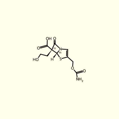 NC(=O)OCC1=CN2C(=O)[C@@](CCO)(C(=O)O)[C@H]2S1